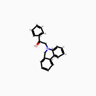 O=C(CN1Cc2ccccc2-c2ccccc21)c1ccccc1